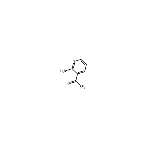 Nc1n[c]ccc1C(=O)C(F)(F)F